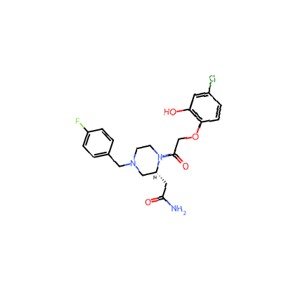 NC(=O)C[C@@H]1CN(Cc2ccc(F)cc2)CCN1C(=O)COc1ccc(Cl)cc1O